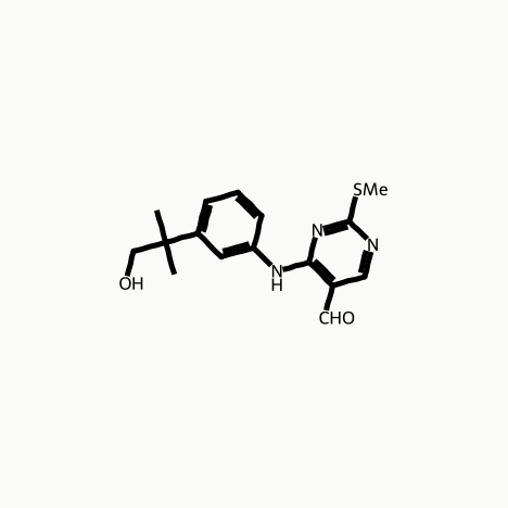 CSc1ncc(C=O)c(Nc2cccc(C(C)(C)CO)c2)n1